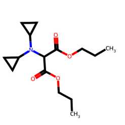 CCCOC(=O)C(C(=O)OCCC)N(C1CC1)C1CC1